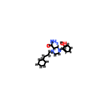 NC(=O)C1CN(c2ccccc2O)CCN1C[CH]CC1CCCCC1